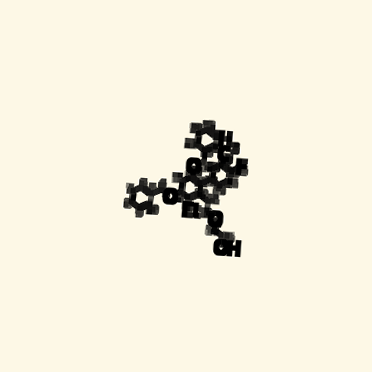 CCc1c(OCc2ccccc2)cc(OCc2ccccc2)c(-c2ccc(F)c(C)c2)c1CCOCCO